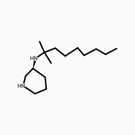 CCCCCCCC(C)(C)N[C@H]1CCCNC1